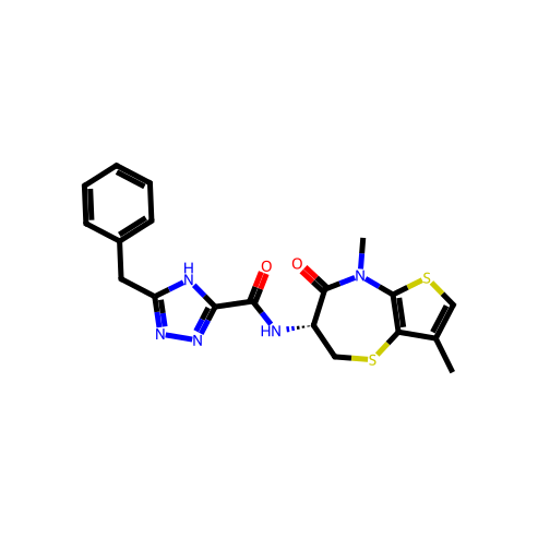 Cc1csc2c1SC[C@H](NC(=O)c1nnc(Cc3ccccc3)[nH]1)C(=O)N2C